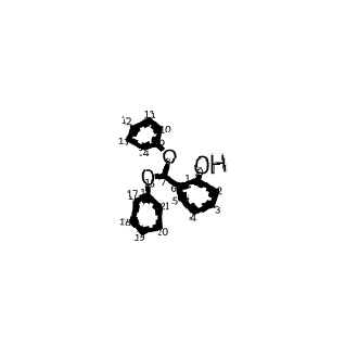 Oc1ccccc1C(Oc1ccccc1)Oc1ccccc1